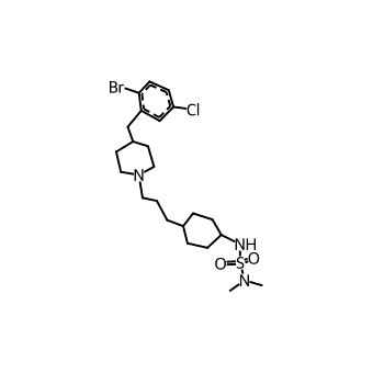 CN(C)S(=O)(=O)NC1CCC(CCCN2CCC(Cc3cc(Cl)ccc3Br)CC2)CC1